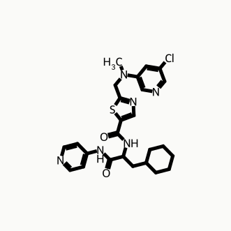 CN(Cc1ncc(C(=O)NC(CC2CCCCC2)C(=O)Nc2ccncc2)s1)c1cncc(Cl)c1